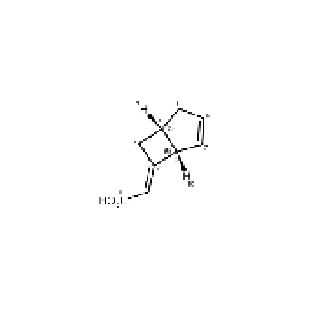 O=C(O)C=C1C[C@@H]2CC=C[C@H]12